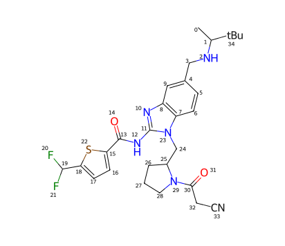 CC(NCc1ccc2c(c1)nc(NC(=O)c1ccc(C(F)F)s1)n2CC1CCCN1C(=O)CC#N)C(C)(C)C